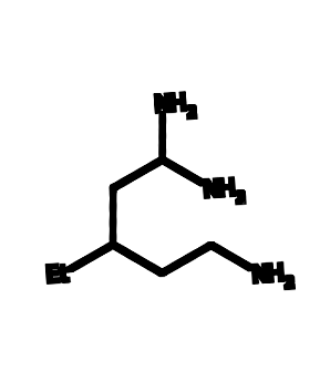 CCC(CCN)CC(N)N